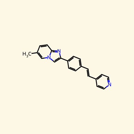 Cc1ccc2nc(-c3ccc(C=Cc4ccncc4)cc3)cn2c1